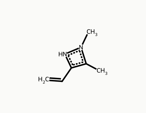 C=Cc1[nH]n(C)c1C